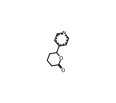 O=C1CCCC(c2ccncc2)O1